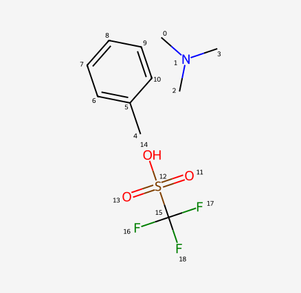 CN(C)C.Cc1ccccc1.O=S(=O)(O)C(F)(F)F